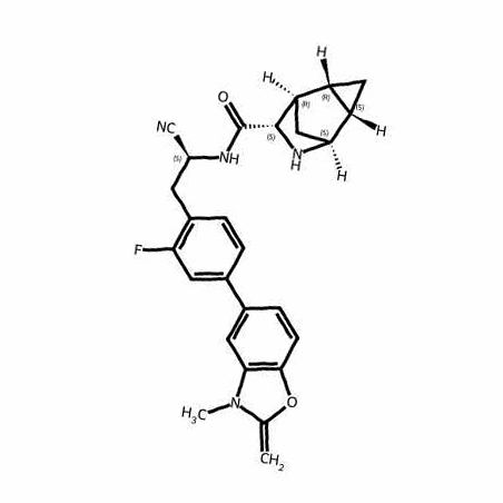 C=C1Oc2ccc(-c3ccc(C[C@@H](C#N)NC(=O)[C@H]4N[C@H]5C[C@@H]4[C@@H]4C[C@@H]45)c(F)c3)cc2N1C